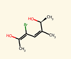 CC(=C/C(Br)=C(\C)O)[C@H](C)O